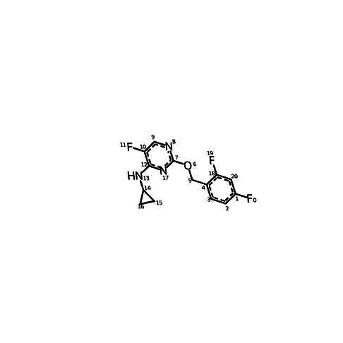 Fc1ccc(COc2ncc(F)c(NC3CC3)n2)c(F)c1